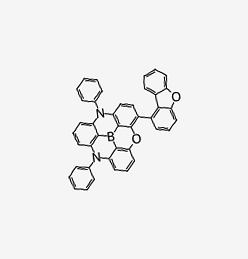 c1ccc(N2c3cccc4c3B3c5c2cccc5N(c2ccccc2)c2ccc(-c5cccc6oc7ccccc7c56)c(c23)O4)cc1